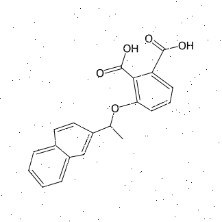 CC(Oc1cccc(C(=O)O)c1C(=O)O)c1ccc2ccccc2c1